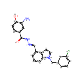 Nc1cc(C(=O)N/N=C/c2cccc3c2ccn3CC2C=CC=C(Cl)C2)ccc1O